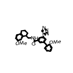 COc1ccc2c(c1)C(CNC(=O)c1cc(-c3ccccc3OC)cc(-n3cnnn3)c1)CCC2